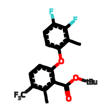 Cc1c(Oc2ccc(C(F)(F)F)c(C)c2C(=O)OC(C)(C)C)ccc(F)c1F